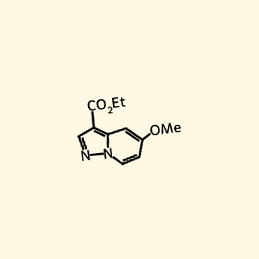 CCOC(=O)c1cnn2ccc(OC)cc12